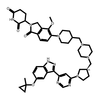 COc1c(N2CCC(CN3CCN(C[C@H]4CCN(c5cc(-c6n[nH]c7ccc(OC8(C)CC8)cc67)ncn5)C4)CC3)CC2)ccc2c1CN(C1CCC(=O)NC1=O)C2=O